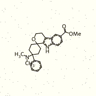 COC(=O)c1ccc2[nH]c3c(c2c1)CCOC31CCC(c2ccccc2)(N(C)C)CC1